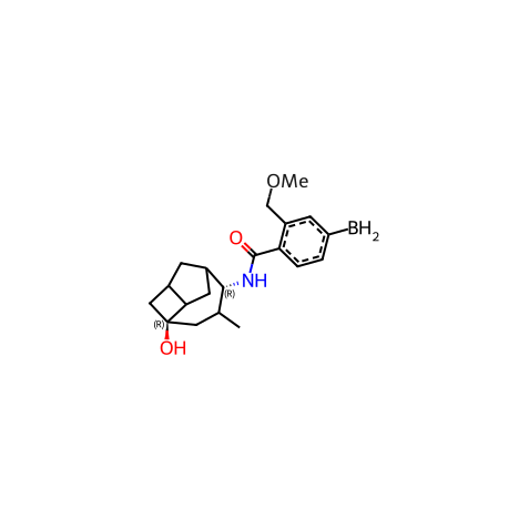 Bc1ccc(C(=O)N[C@@H]2C(C)C[C@]3(O)CC4CC2CC43)c(COC)c1